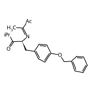 CC(=O)/C(C)=N/[C@@H](Cc1ccc(OCc2ccccc2)cc1)C(=O)C(C)C